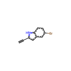 C#Cc1cc2cc(Br)ccc2[nH]1